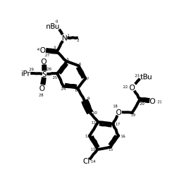 CCCCN(C)C(=O)c1ccc(C#Cc2cc(Cl)ccc2OCC(=O)OC(C)(C)C)cc1S(=O)(=O)C(C)C